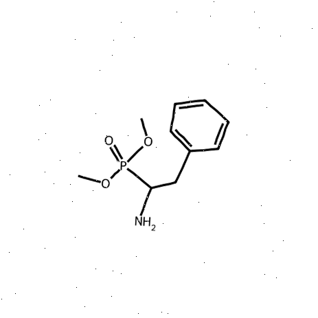 COP(=O)(OC)C(N)Cc1ccccc1